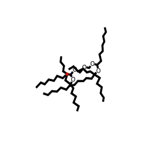 CCCCCCCCC(OCOCOC(CCCCCCCC)OC(CCCCCC)(CCCCCC)CCCCCC)OC(CCCCCC)(CCCCCC)CCCCCC